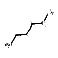 CCCCCCC[P]CCC